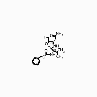 CC(C)[C@H](NC(=O)OCc1ccccc1)C(=O)N[C@@H](CC(N)=O)C(=O)CF